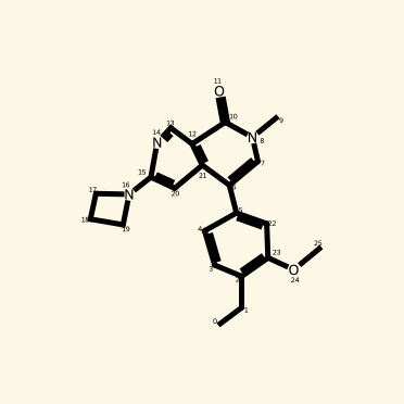 CCc1ccc(-c2cn(C)c(=O)c3cnc(N4CCC4)cc23)cc1OC